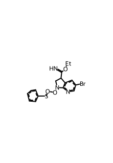 CCOC(=N)C1CN(OOSc2ccccc2)c2ncc(Br)cc21